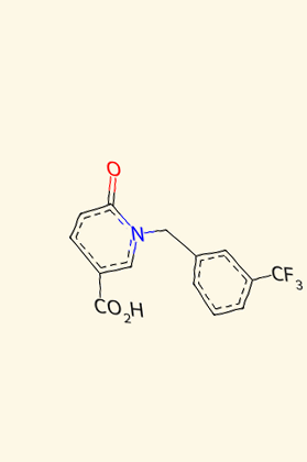 O=C(O)c1ccc(=O)n(Cc2cccc(C(F)(F)F)c2)c1